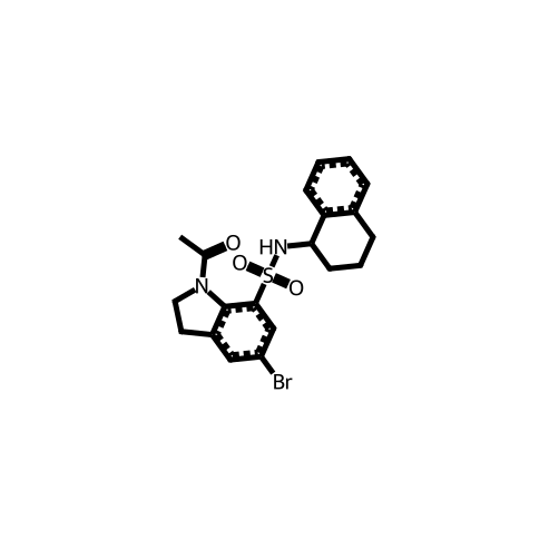 CC(=O)N1CCc2cc(Br)cc(S(=O)(=O)NC3CCCc4ccccc43)c21